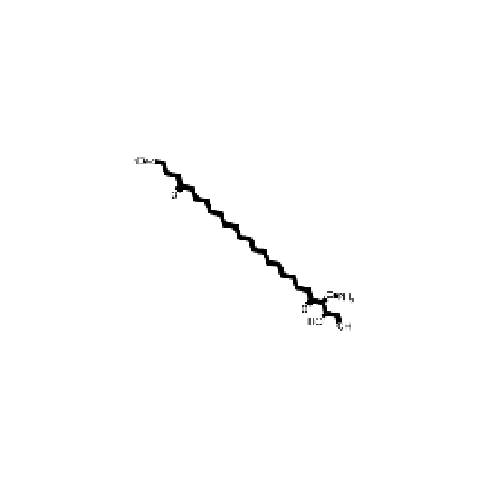 CCCCCCCCCCCCCC(=O)CCCCCCCCCCCCCCCCCC(=O)C(OP)C(O)CO